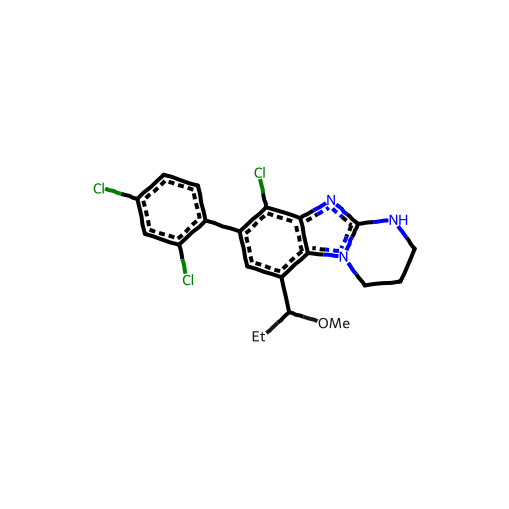 CCC(OC)c1cc(-c2ccc(Cl)cc2Cl)c(Cl)c2nc3n(c12)CCCN3